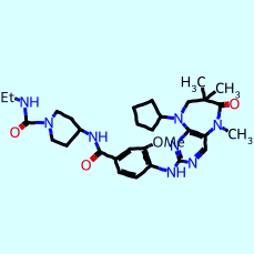 CCNC(=O)N1CCC(NC(=O)c2ccc(Nc3ncc4c(n3)N(C3CCCC3)CC(C)(C)C(=O)N4C)c(OC)c2)CC1